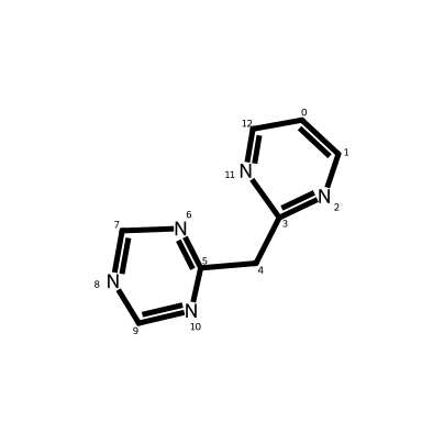 c1cnc(Cc2ncncn2)nc1